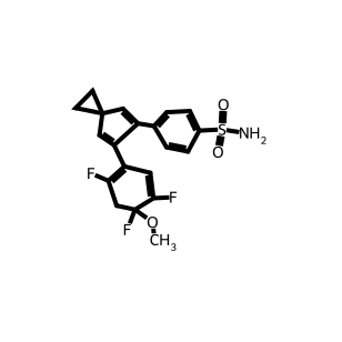 COC1(F)CC(F)=C(C2=CC3(C=C2c2ccc(S(N)(=O)=O)cc2)CC3)C=C1F